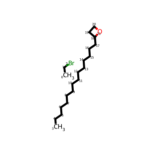 CCBr.CCCCCCCCCCCCCCCC1CCO1